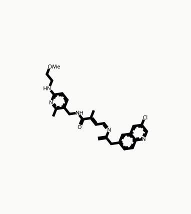 C=C(Cc1ccc2ncc(Cl)cc2c1)/N=C\C=C(/C)C(=O)NCc1ccc(NCCOC)nc1C